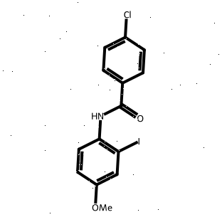 COc1ccc(NC(=O)c2ccc(Cl)cc2)c(I)c1